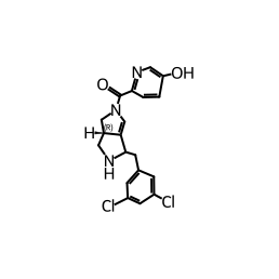 O=C(c1ccc(O)cn1)N1C=C2C(Cc3cc(Cl)cc(Cl)c3)NC[C@@H]2C1